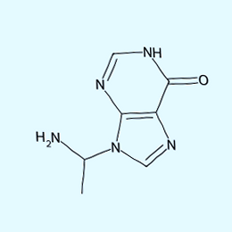 CC(N)n1cnc2c(=O)[nH]cnc21